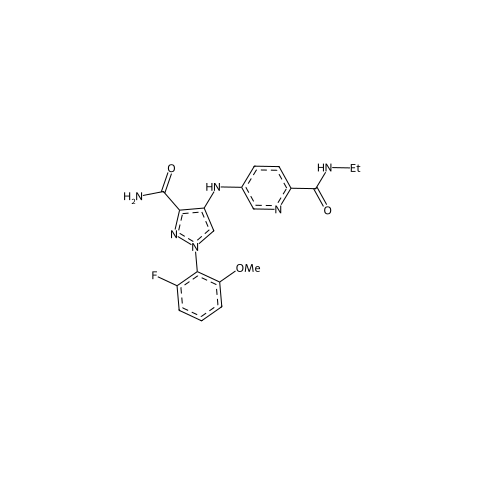 CCNC(=O)c1ccc(Nc2cn(-c3c(F)cccc3OC)nc2C(N)=O)cn1